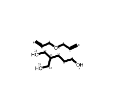 C=CCOCC=C.OCCCC(CO)CO